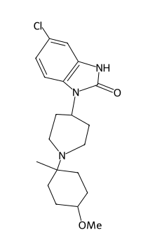 COC1CCC(C)(N2CCC(n3c(=O)[nH]c4cc(Cl)ccc43)CC2)CC1